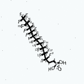 O=P(O)(O)CCC(F)(F)C(F)(F)C(F)(F)C(F)(F)C(F)(F)C(F)(F)C(F)(F)C(F)(F)C(F)(F)C(F)(F)F